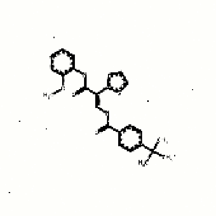 COc1ccccc1NC(=O)C(=CNC(=O)c1ccc(C(C)(C)C)cc1)c1cccs1